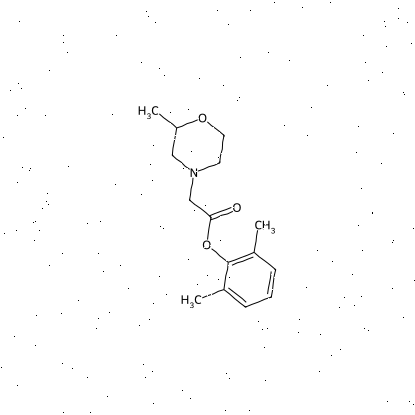 Cc1cccc(C)c1OC(=O)CN1CCOC(C)C1